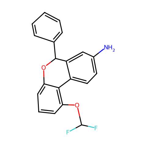 Nc1ccc2c(c1)C(c1ccccc1)Oc1cccc(OC(F)F)c1-2